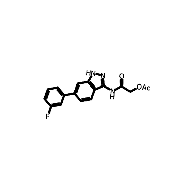 CC(=O)OCC(=O)Nc1n[nH]c2cc(-c3cccc(F)c3)ccc12